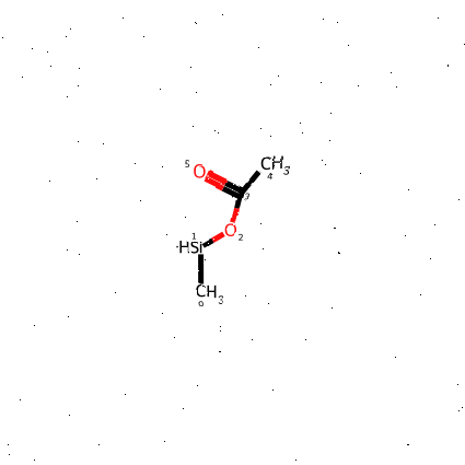 C[SiH]OC(C)=O